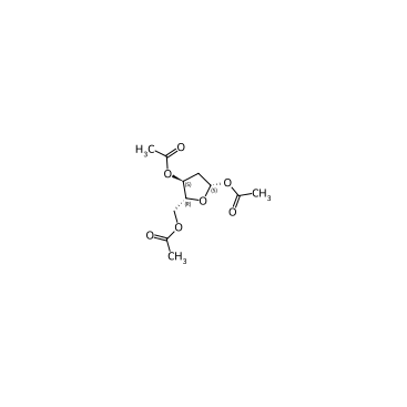 CC(=O)OC[C@H]1O[C@@H](OC(C)=O)C[C@@H]1OC(C)=O